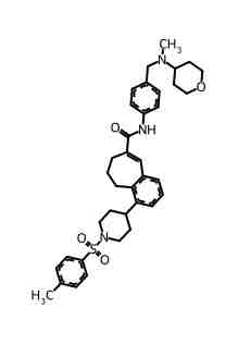 Cc1ccc(S(=O)(=O)N2CCC(c3cccc4c3CCCC(C(=O)Nc3ccc(CN(C)C5CCOCC5)cc3)=C4)CC2)cc1